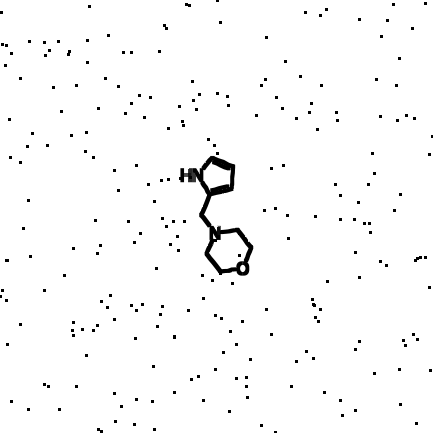 c1c[nH]c(CN2CCOCC2)c1